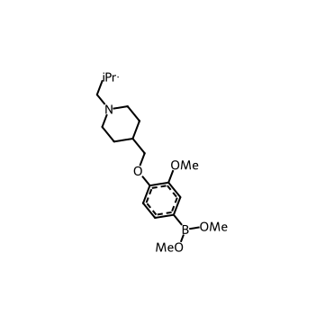 COB(OC)c1ccc(OCC2CCN(C[C](C)C)CC2)c(OC)c1